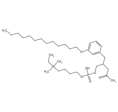 CCCCCCCCCCCCCOc1cccc(CC(COP(=O)(O)OCCCC[N+](C)(C)CC)CC(C)=O)c1